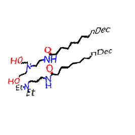 CCCCCCCCCCCCCCCCCC(=O)NCCCN(CC)CC.CCCCCCCCCCCCCCCCCC(=O)NCCN(CCO)CCO